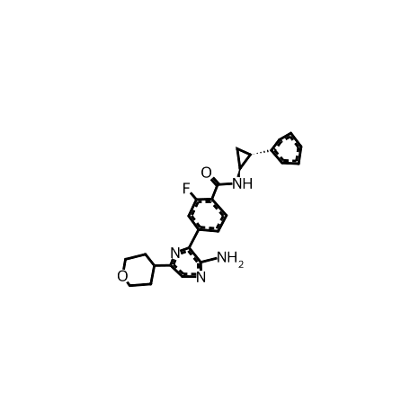 Nc1ncc(C2CCOCC2)nc1-c1ccc(C(=O)N[C@H]2C[C@@H]2c2ccccc2)c(F)c1